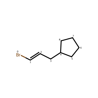 Br/C=C/CC1CCCC1